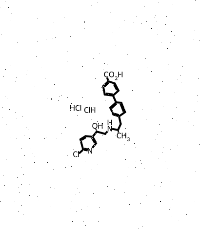 C[C@H](Cc1ccc(-c2ccc(C(=O)O)cc2)cc1)NC[C@@H](O)c1ccc(Cl)nc1.Cl.Cl